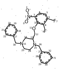 O=[N+]([O-])c1ccc(F)c(F)c1OCC1CN(Cc2ccccc2)CCN1Cc1ccccc1